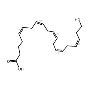 O=C(O)CCC/C=C\C/C=C\C/C=C\C/C=C\C/C=C\CCO